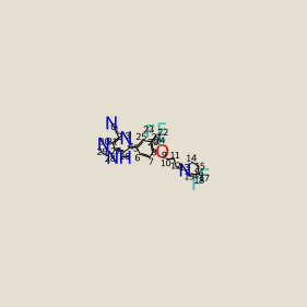 N#Cc1nc(-c2ccc(OCCCN3CCC(F)(F)C3)c(C(F)(F)F)c2)cc2[nH]cnc12